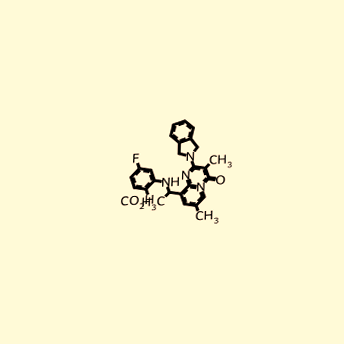 Cc1cc(C(C)Nc2cc(F)ccc2C(=O)O)c2nc(N3Cc4ccccc4C3)c(C)c(=O)n2c1